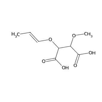 CC=COC(C(=O)O)C(OC)C(=O)O